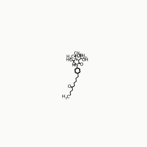 CCCCC(=O)CCCCCc1ccc(NC(=O)[C@H]([C@@H](C)O)N(C(=O)O)C(C)(C)C)cc1